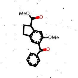 COC(=O)C1CCc2cc(C(=O)c3ccccc3)c(OC)cc21